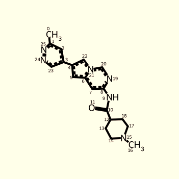 Cc1cc(-c2cc3cc(NC(=O)C4CCN(C)CC4)ncn3c2)cnn1